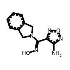 Nc1nonc1/C(=N/O)N1Cc2ccccc2C1